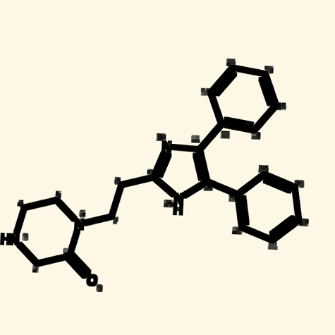 O=C1CNCCN1CCc1nc(-c2ccccc2)c(-c2ccccc2)[nH]1